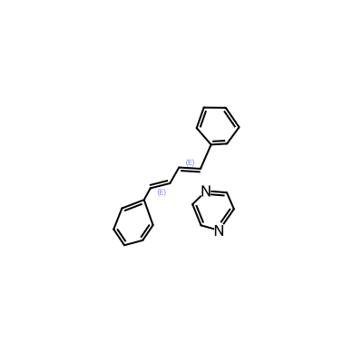 C(/C=C/c1ccccc1)=C\c1ccccc1.c1cnccn1